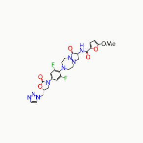 COc1ccc(C(=O)N[C@H]2CN3CCN(c4c(F)cc(N5C[C@H](Cn6ccnn6)OC5=O)cc4F)CCN3C2=O)o1